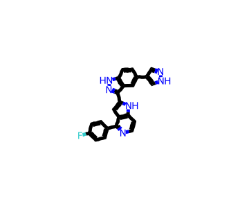 Fc1ccc(-c2nccc3[nH]c(-c4n[nH]c5ccc(-c6cn[nH]c6)cc45)cc23)cc1